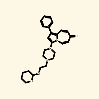 O=c1ccc2c(-c3ccccc3)cc(N3CCN(CCOC4CCCCO4)CC3)n2cc1